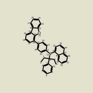 CCC(CC)(c1ccccc1)N(c1ccc(-c2cccc3c2oc2ccccc23)cc1)c1cccc2ccccc12